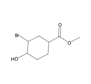 COC(=O)C1CCC(O)C(Br)C1